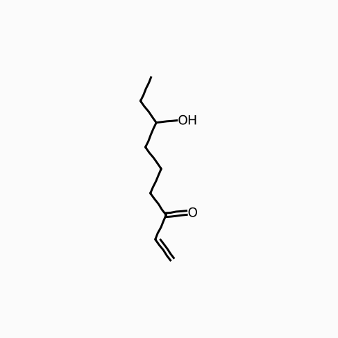 C=CC(=O)CCCC(O)CC